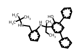 CCC(C)(Pc1ccccc1CNC(C)(C)C)c1cc(-c2ccccc2)cc(-c2ccccc2)c1O